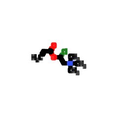 C=CC(=O)OC(Cl)C[N+](C)(C)C